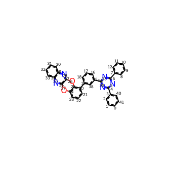 c1ccc(-c2nc(-c3ccccc3)nc(-c3cccc(-c4cccc5c4Oc4nc6ccccc6nc4O5)c3)n2)cc1